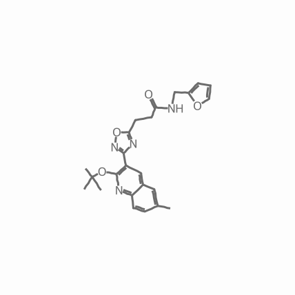 Cc1ccc2nc(OC(C)(C)C)c(-c3noc(CCC(=O)NCc4ccco4)n3)cc2c1